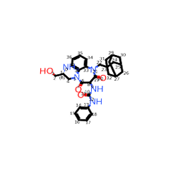 N[C@@H](CO)CN1C(=O)C(NC(=O)Nc2ccccc2)C(=O)N(CC23CC4CC(CC(C4)C2)C3)c2ccccc21